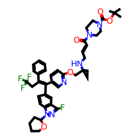 CC(C)(C)OC(=O)N1CCN(C(=O)/C=C/CNC2(COc3ccc(/C(=C(/CC(F)(F)F)c4ccccc4)c4ccc5c(c4)c(F)nn5C4CCCCO4)cn3)CC2)CC1